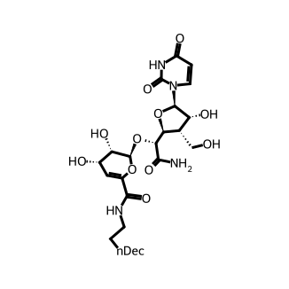 CCCCCCCCCCCCNC(=O)C1=C[C@H](O)[C@H](O)[C@@H](O[C@@H](C(N)=O)[C@H]2O[C@@H](n3ccc(=O)[nH]c3=O)[C@H](O)[C@@H]2CO)O1